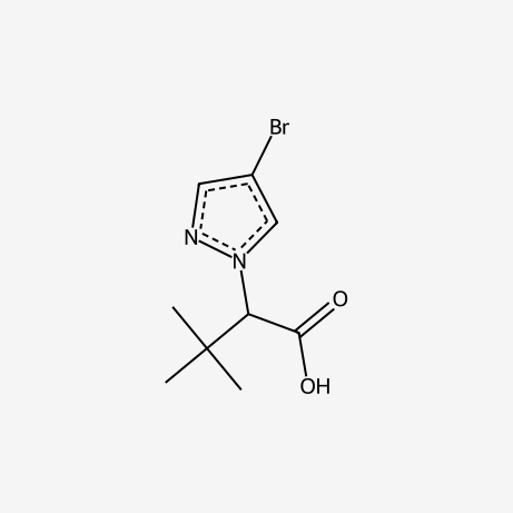 CC(C)(C)C(C(=O)O)n1cc(Br)cn1